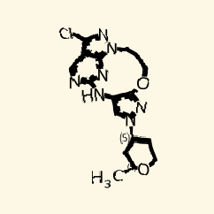 C[C@H]1C[C@@H](n2cc3c(n2)OCCCn2nc(Cl)c4cnc(nc42)N3)CCO1